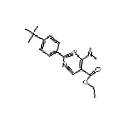 CCOC(=O)c1cnc(-c2ccc(C(C)(C)C)cc2)nc1N(C)C